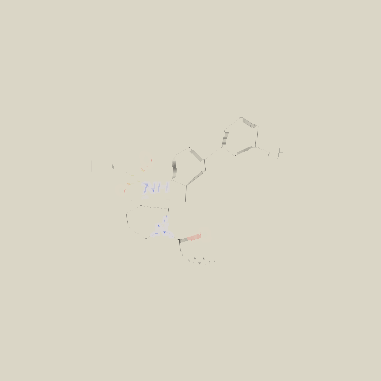 COC(=O)N1CCC[C@H](NS(C)(=O)=O)[C@@H]1Cc1cccc(-c2cccc(C(F)(F)F)c2)c1